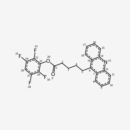 O=C(CCCCc1c2ccccc2nc2ccccc12)Oc1c(F)c(F)cc(F)c1F